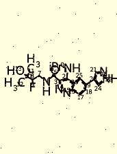 CC(C)Nc1c(C(=O)NCC(F)C(C)(C)O)nnc2ccc(-c3cn[nH]c3)cc12